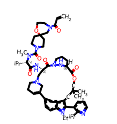 C=CC(=O)N1CCOC2(CCN(C(=O)N(C)[C@H](C(=O)N[C@H]3CN4CCC=C(C4)c4ccc5c(c4)c(c(-c4cccnc4C(C)C)n5CC)CC(C)(C)COC(=O)[C@@H]4CCCN(N4)C3=O)C(C)C)CC2)C1